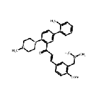 COc1ccc(C=CC(=O)c2cc(-c3ccccc3C)ccc2N2CCN(C)CC2)cc1CN(C)C